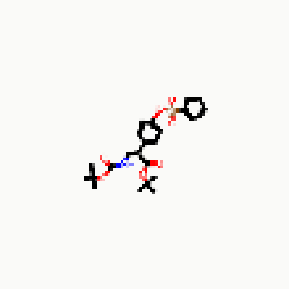 CC(C)(C)OC(=O)NCC(C(=O)OC(C)(C)C)c1ccc(OS(=O)(=O)c2ccccc2)cc1